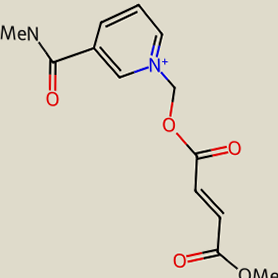 CNC(=O)c1ccc[n+](COC(=O)/C=C/C(=O)OC)c1